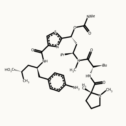 CC[C@H](C)[C@H](NC(=O)[C@@]1(C)CCCN1C)C(=O)N(C)[C@H](C[C@@H](OC(=O)NC)c1nc(C(=O)N[C@@H](Cc2ccc(N)cc2)C[C@H](C)C(=O)O)cs1)C(C)C